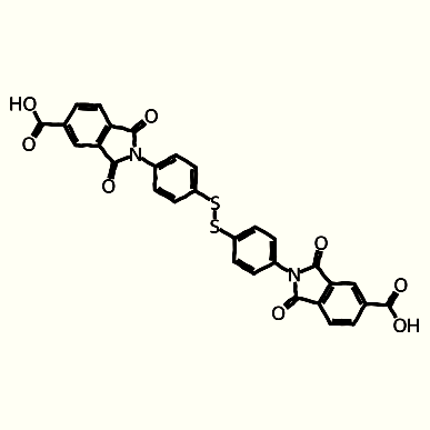 O=C(O)c1ccc2c(c1)C(=O)N(c1ccc(SSc3ccc(N4C(=O)c5ccc(C(=O)O)cc5C4=O)cc3)cc1)C2=O